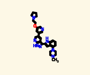 CN1CCN(c2cccc3[nH]c(-c4n[nH]c5ncc(-c6cncc(OCCN7CCCC7)c6)cc45)cc23)CC1